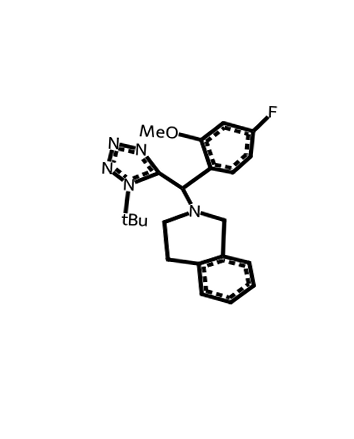 COc1cc(F)ccc1C(c1nnnn1C(C)(C)C)N1CCc2ccccc2C1